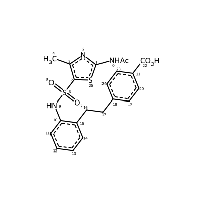 CC(=O)Nc1nc(C)c(S(=O)(=O)Nc2ccccc2CCc2ccc(C(=O)O)cc2)s1